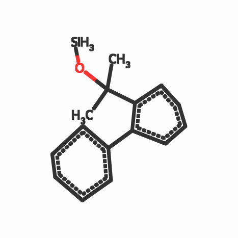 CC(C)(O[SiH3])c1ccccc1-c1ccccc1